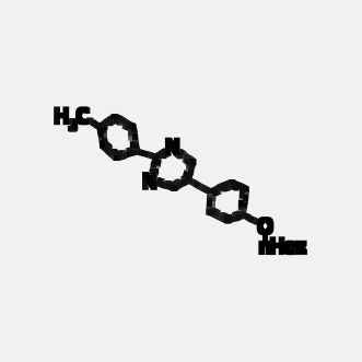 CCCCCCOc1ccc(-c2cnc(-c3ccc(C)cc3)nc2)cc1